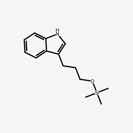 C[Si](C)(C)OCCCc1c[nH]c2ccccc12